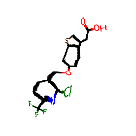 O=C(O)Cc1csc2cc(OCc3ccc(C(F)(F)F)nc3Cl)ccc12